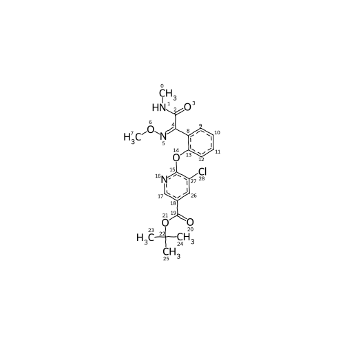 CNC(=O)/C(=N\OC)c1ccccc1Oc1ncc(C(=O)OC(C)(C)C)cc1Cl